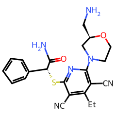 CCc1c(C#N)c(S[C@@H](C(N)=O)c2ccccc2)nc(N2CCO[C@H](CN)C2)c1C#N